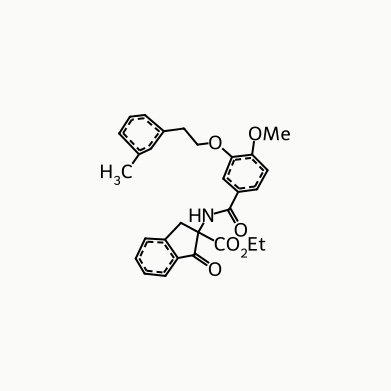 CCOC(=O)C1(NC(=O)c2ccc(OC)c(OCCc3cccc(C)c3)c2)Cc2ccccc2C1=O